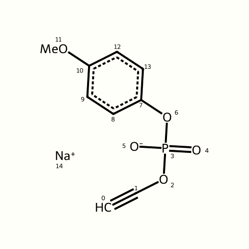 C#COP(=O)([O-])Oc1ccc(OC)cc1.[Na+]